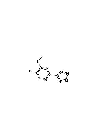 COc1nc(-c2cnon2)ncc1F